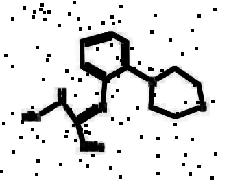 CCCCNC(=Nc1ccccc1N1CCSCC1)NC